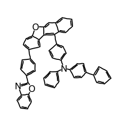 c1ccc(-c2ccc(N(c3ccccc3)c3ccc(-c4c5ccccc5cc5oc6ccc(-c7ccc(-c8nc9ccccc9o8)cc7)cc6c45)cc3)cc2)cc1